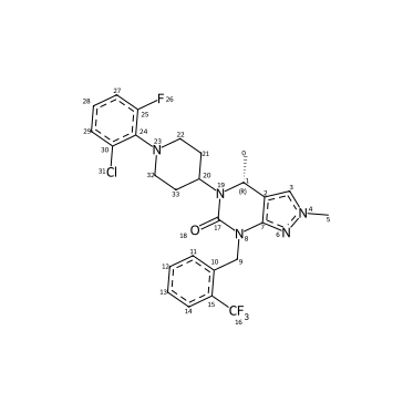 C[C@@H]1c2cn(C)nc2N(Cc2ccccc2C(F)(F)F)C(=O)N1C1CCN(c2c(F)cccc2Cl)CC1